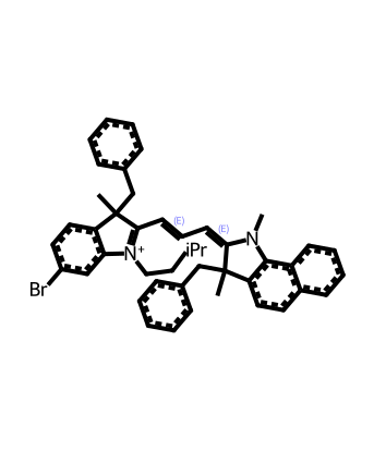 CC(C)CC[N+]1=C(/C=C/C=C2/N(C)c3c(ccc4ccccc34)C2(C)Cc2ccccc2)C(C)(Cc2ccccc2)c2ccc(Br)cc21